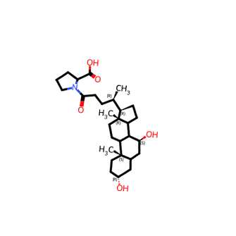 C[C@H](CCC(=O)N1CCCC1C(=O)O)[C@H]1CCC2C3C(CC[C@@]21C)[C@@]1(C)CC[C@@H](O)CC1C[C@@H]3O